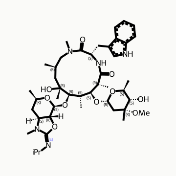 CO[C@]1(C)C[C@H](O[C@H]2[C@H](C)[C@@H](O[C@@H]3O[C@H](C)C[C@H]4[C@H]3O/C(=N/C(C)C)N4C)[C@](C)(O)C[C@@H](C)CN(C)C(=O)[C@H](Cc3c[nH]c4ccccc34)NC(=O)[C@@H]2C)O[C@@H](C)[C@@H]1O